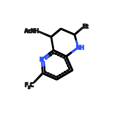 CCC1CC(NC(C)=O)c2nc(C(F)(F)F)ccc2N1